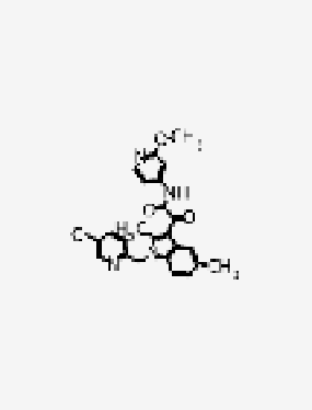 COc1cc(NC(=O)C(=O)c2c(C)n(Cc3ccc(Cl)cn3)c3ccc(C)cc23)ccn1